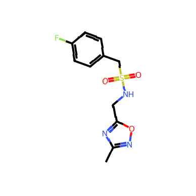 Cc1noc(CNS(=O)(=O)Cc2ccc(F)cc2)n1